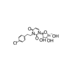 O=c1ccn([C@@H]2O[C@H](CO)C(O)C2O)c(=O)n1CCc1ccc(Cl)cc1